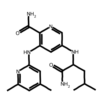 Cc1cc(C)nc(Nc2cc(NC(CC(C)C)C(N)=O)cnc2C(N)=O)c1